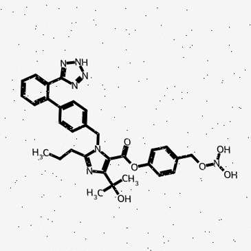 CCCc1nc(C(C)(C)O)c(C(=O)Oc2ccc(CON(O)O)cc2)n1Cc1ccc(-c2ccccc2-c2nn[nH]n2)cc1